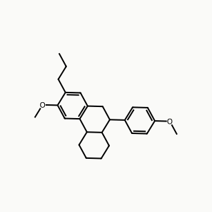 CCCc1cc2c(cc1OC)C1CCCCC1C(c1ccc(OC)cc1)C2